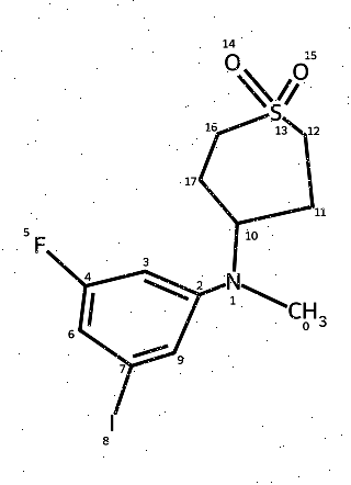 CN(c1cc(F)cc(I)c1)C1CCS(=O)(=O)CC1